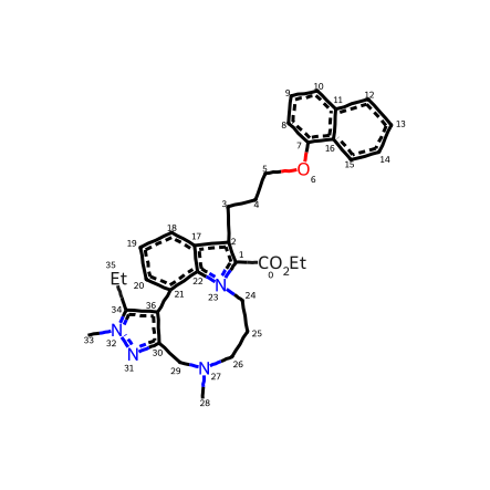 CCOC(=O)c1c(CCCOc2cccc3ccccc23)c2cccc3c2n1CCCN(C)Cc1nn(C)c(CC)c1-3